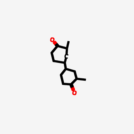 CC1CC(C2CCC(=O)C(C)C2)CCC1=O